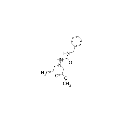 C=CCN(CC(=O)OC)NC(=O)NCc1ccccc1